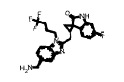 NCc1ccc2c(c1)nc(C[C@H]1CC13C(=O)Nc1cc(F)ccc13)n2CCCC(F)(F)F